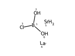 OB(O)Cl.[La].[SrH2]